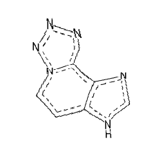 c1nc2c(ccn3nnnc23)[nH]1